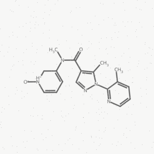 Cc1cccnc1-n1ncc(C(=O)N(C)C2=CC=C[NH+]([O-])C2)c1C